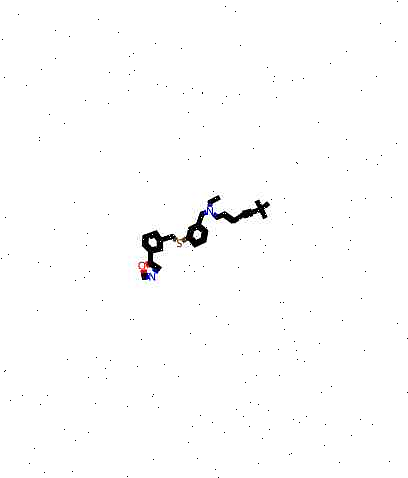 CCN(CC=CC#CC(C)(C)C)Cc1cccc(SCc2cccc(-c3cnco3)c2)c1